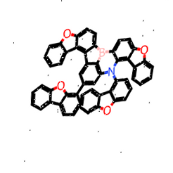 c1ccc2c(c1)oc1c(-c3cc4c5c(c3)N(c3cccc6oc7ccccc7c36)c3c(ccc6oc7ccccc7c36)B5c3ccc5oc6ccccc6c5c3-4)cccc12